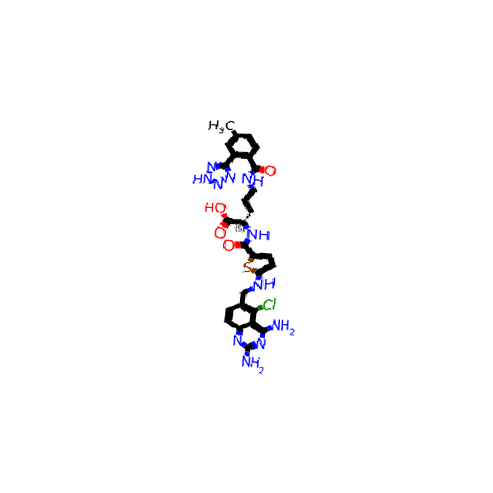 Cc1ccc(C(=O)NCCC[C@H](NC(=O)c2ccc(NCc3ccc4nc(N)nc(N)c4c3Cl)s2)C(=O)O)c(-c2nn[nH]n2)c1